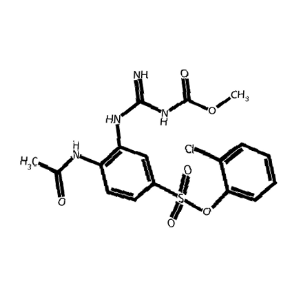 COC(=O)NC(=N)Nc1cc(S(=O)(=O)Oc2ccccc2Cl)ccc1NC(C)=O